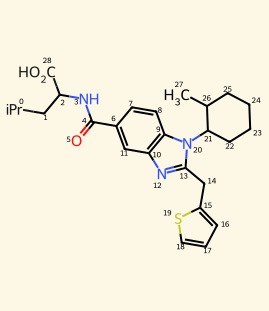 CC(C)CC(NC(=O)c1ccc2c(c1)nc(Cc1cccs1)n2C1CCCCC1C)C(=O)O